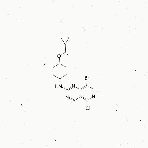 Clc1ncc(Br)c2nc(N[C@H]3CC[C@H](OCC4CC4)CC3)ncc12